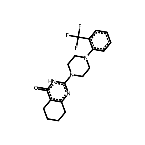 O=c1[nH]c(N2CCN(c3ccccc3C(F)(F)F)CC2)nc2c1CCCC2